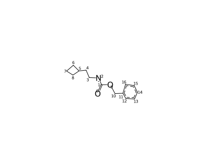 O=C([N]CCC1CCC1)OCc1ccccc1